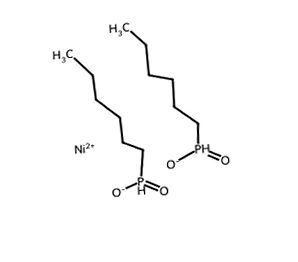 CCCCCC[PH](=O)[O-].CCCCCC[PH](=O)[O-].[Ni+2]